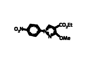 CCOC(=O)c1cn(-c2ccc([N+](=O)[O-])cc2)nc1OC